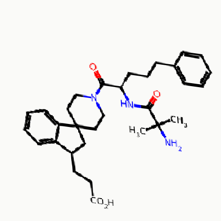 CC(C)(N)C(=O)N[C@H](CCCc1ccccc1)C(=O)N1CCC2(CC1)CC(CCC(=O)O)c1ccccc12